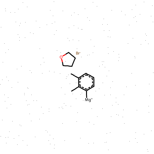 C1CCOC1.Cc1ccc[c]([Mg+])c1C.[Br-]